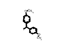 COc1ccc(C(I)c2ccc(OC)cc2)cc1